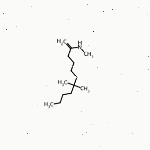 C=C(CCCCC(C)(C)CCCC)NC